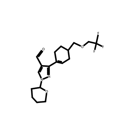 O=Cc1cn(C2CCCCO2)nc1C1=CCC(COCC(F)(F)F)CC1